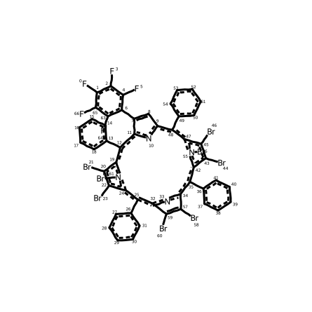 Fc1c(F)c(F)c(C2=Cc3nc2c(-c2ccccc2)c2c(Br)c(Br)c(c(-c4ccccc4)c4nc(c(-c5ccccc5)c5c(Br)c(Br)c(c3-c3ccccc3)n5Br)C(Br)=C4Br)n2Br)c(F)c1F